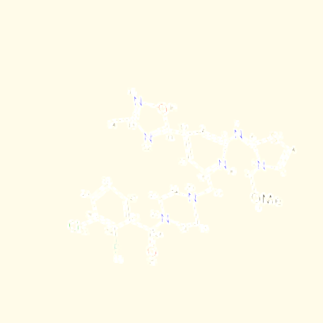 COCn1ccsc1=Nc1cc(-c2nc(C)no2)cc(CN2CCN(C(=O)c3cccc(Cl)c3F)CC2)n1